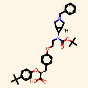 CC(C)(C)OC(=O)N(CCOc1ccc(C[C@H](Oc2ccc(C(C)(C)C)cc2)C(=O)O)cc1)[C@@H]1C2CN(Cc3ccccc3)C[C@H]21